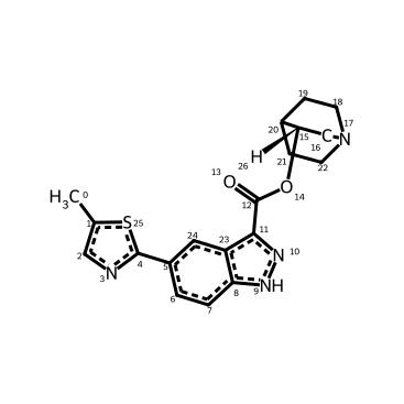 Cc1cnc(-c2ccc3[nH]nc(C(=O)O[C@H]4CN5CCC4CC5)c3c2)s1